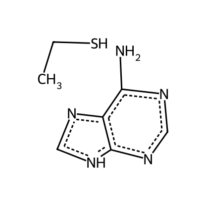 CCS.Nc1ncnc2[nH]cnc12